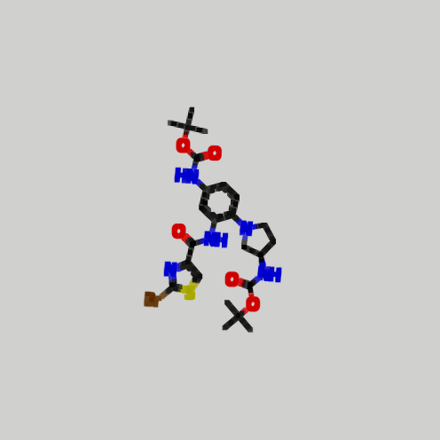 CC(C)(C)OC(=O)Nc1ccc(N2CC[C@@H](NC(=O)OC(C)(C)C)C2)c(NC(=O)c2csc(Br)n2)c1